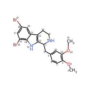 COc1ccc(CC2NCCc3c2[nH]c2c(Br)cc(Br)cc32)cc1OC